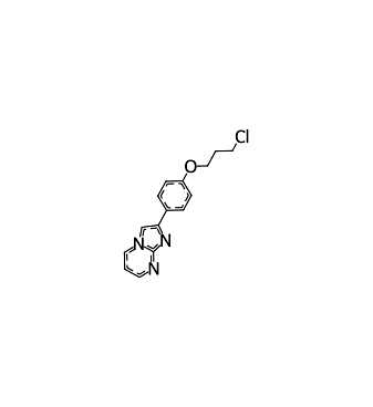 ClCCCOc1ccc(-c2cn3cccnc3n2)cc1